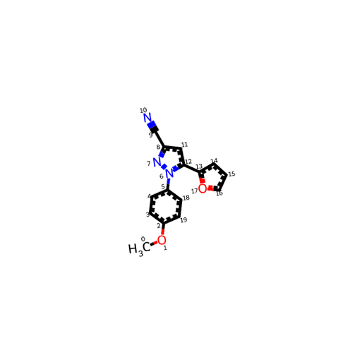 COc1ccc(-n2nc(C#N)cc2-c2ccco2)cc1